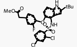 COC(=O)Cc1ccc(Oc2ccc3[nH]c(C(C)(C)C)cc3c2NS(=O)(=O)c2ccc(Cl)cc2Cl)c(F)c1